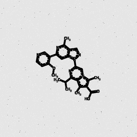 COc1ccncc1-c1cc2c(cnn2-c2cn3c(C)c(C(=O)O)c(C)c3c(C(C)C)n2)c(C)n1